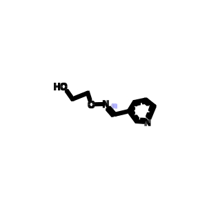 OCCO/N=C/c1cccnc1